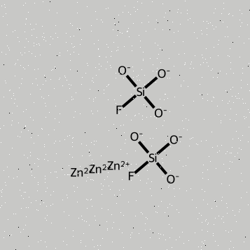 [O-][Si]([O-])([O-])F.[O-][Si]([O-])([O-])F.[Zn+2].[Zn+2].[Zn+2]